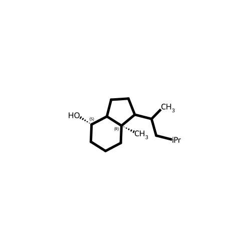 CC(C)CC(C)C1CCC2[C@@H](O)CCC[C@]12C